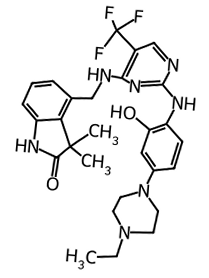 CCN1CCN(c2ccc(Nc3ncc(C(F)(F)F)c(NCc4cccc5c4C(C)(C)C(=O)N5)n3)c(O)c2)CC1